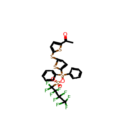 CC(=O)c1ccc(Sc2ccc(S(OS(=O)(=O)C(F)(F)C(F)(F)C(F)(F)C(F)(F)F)(c3ccccc3)c3ccccc3)s2)s1